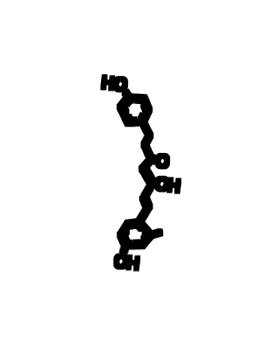 Cc1cc(O)ccc1/C=C/C(O)=C/C(=O)CCc1ccc(O)cc1